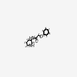 O=C(COc1ccccc1)NC1CCCNC1